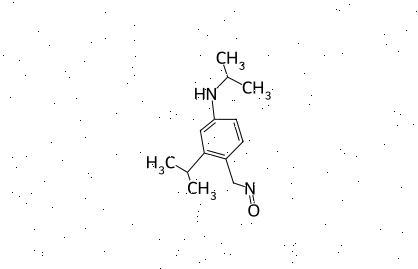 CC(C)Nc1ccc(CN=O)c(C(C)C)c1